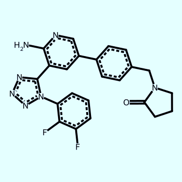 Nc1ncc(-c2ccc(CN3CCCC3=O)cc2)cc1-c1nnnn1-c1cccc(F)c1F